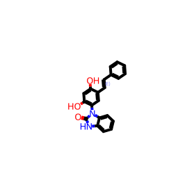 O=c1[nH]c2ccccc2n1-c1cc(/C=C/c2ccccc2)c(O)cc1O